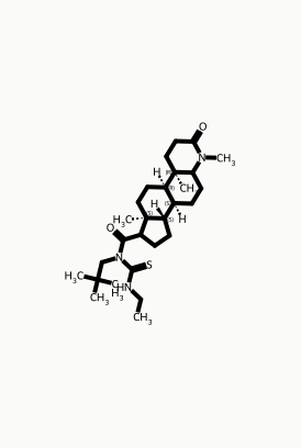 CCNC(=S)N(CC(C)(C)C)C(=O)C1CC[C@H]2[C@@H]3CCC4N(C)C(=O)CC[C@]4(C)[C@@H]3CC[C@]12C